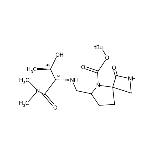 C[C@@H](O)[C@H](NCC1CCC2(CNC2=O)N1C(=O)OC(C)(C)C)C(=O)N(C)C